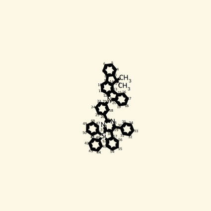 CC1(C)c2ccccc2-c2ccc3c(c21)c1ccccc1n3-c1cccc(-c2nc(-c3ccccc3)c3c(n2)[Si](c2ccccc2)(c2ccccc2)c2ccccc2-3)c1